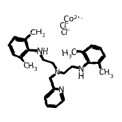 Cc1cccc(C)c1NCCN(CCNc1c(C)cccc1C)Cc1ccccn1.[Cl-].[Cl-].[Co+2]